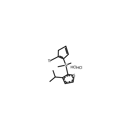 CC(C)c1ccsc1[Si](C)(C)C1=[C]([Ti])CC=C1.Cl.Cl